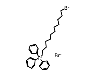 BrCCCCCCCCCCCC[P+](c1ccccc1)(c1ccccc1)c1ccccc1.[Br-]